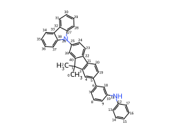 CC1(C)c2cc(-c3cccc(Nc4ccccc4)c3)ccc2-c2ccc(-n3c4ccccc4c4ccccc43)cc21